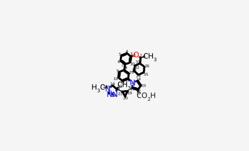 C[C@H](Oc1cccc(-c2cccc(-n3ccc(C(=O)O)c3[C@@H]3C[C@H]3C3(C)CN(C)N=N3)c2)c1)C1CCCCC1